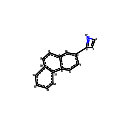 C1=CC(c2ccc3c(ccc4ccccc43)c2)=N1